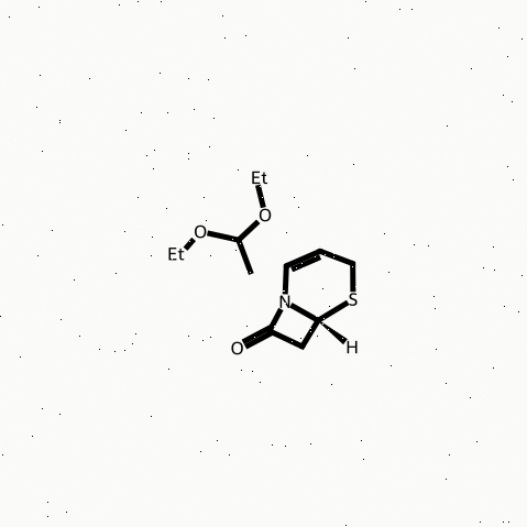 CCOC(C)OCC.O=C1C[C@H]2SCC=CN12